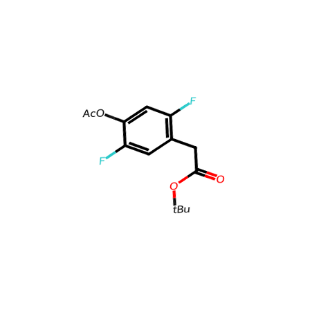 CC(=O)Oc1cc(F)c(CC(=O)OC(C)(C)C)cc1F